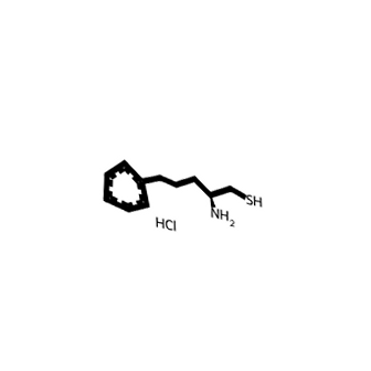 Cl.N[C@H](CS)CCCc1ccccc1